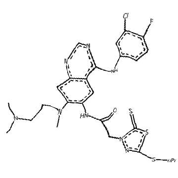 CCCSc1nn(CC(=O)Nc2cc3c(Nc4ccc(F)c(Cl)c4)ncnc3cc2N(C)CCN(C)C)c(=S)s1